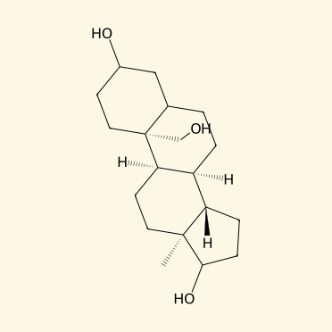 C[C@]12CC[C@@H]3[C@@H](CCC4CC(O)CC[C@@]43CO)[C@@H]1CCC2O